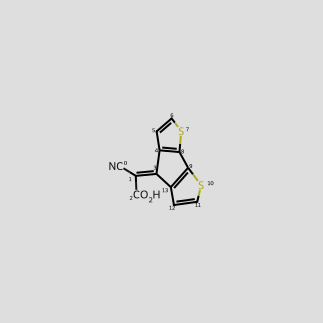 N#CC(C(=O)O)=C1c2ccsc2-c2sccc21